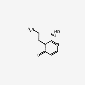 Cl.Cl.NCCn1cnccc1=O